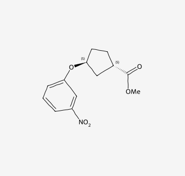 COC(=O)[C@H]1CC[C@H](Oc2cccc([N+](=O)[O-])c2)C1